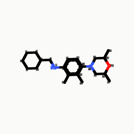 Cc1c(NCC2CCCCC2)ccc(N2CC(C)OC(C)C2)c1C